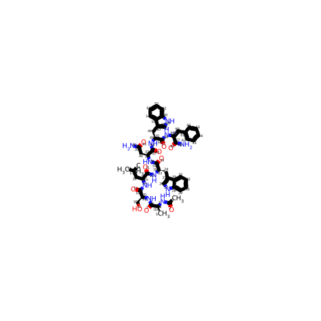 CC(=O)N[C@@H](C)C(=O)N[C@@H](CO)C(=O)NC(CC(C)C)C(=O)N[C@@H](Cc1c[nH]c2ccccc12)C(=O)N[C@@H](CC(N)=O)C(=O)N[C@@H](Cc1c[nH]c2ccccc12)C(=O)N/C(=C/c1ccccc1)C(N)=O